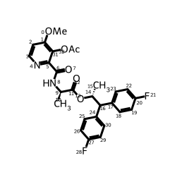 COc1ccnc(C(=O)N[C@H](C)C(=O)O[C@H](C)C(c2ccc(F)cc2)c2ccc(F)cc2)c1OC(C)=O